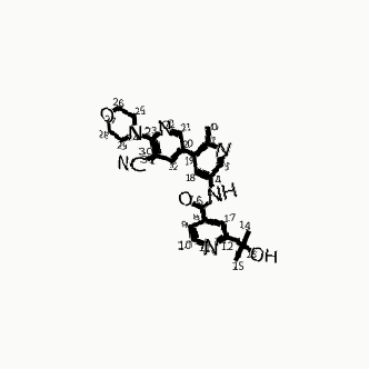 Cc1ncc(NC(=O)c2ccnc(C(C)(C)O)c2)cc1-c1cnc(N2CCOCC2)c(C#N)c1